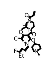 C=CC(=O)N1CCN2C(=O)C(=C(\OC3CCN(C)CC3)N(C)/C=C\C=C(\F)CC)/C(=C(\C)Cl)OC[C@H]2C1